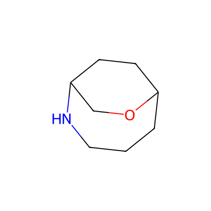 C1CNC2CCC(C1)OC2